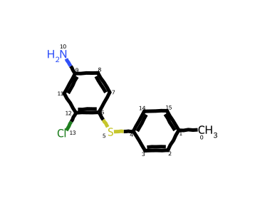 Cc1ccc(Sc2ccc(N)cc2Cl)cc1